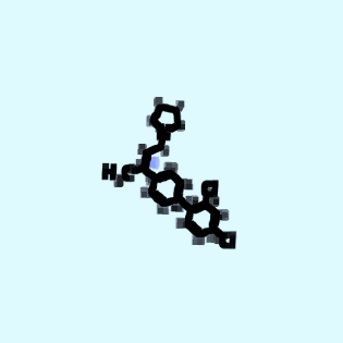 C/C(=C/CN1CCCC1)c1ccc(-c2ccc(Cl)cc2Cl)cc1